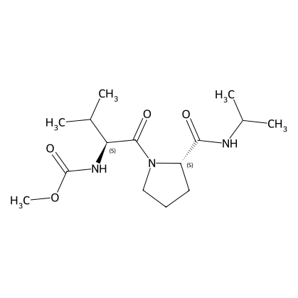 COC(=O)N[C@H](C(=O)N1CCC[C@H]1C(=O)NC(C)C)C(C)C